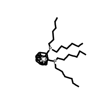 CCCCCCP(CCCCCC)[C]12[CH]3[CH]4[CH]5[C]1(P(CCCCCC)CCCCCC)[Co]43521678[CH]2[CH]1[CH]6[CH]7[CH]28